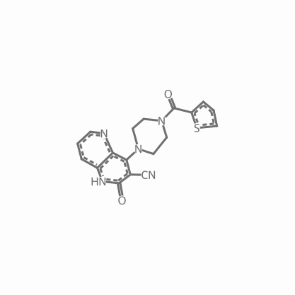 N#Cc1c(N2CCN(C(=O)c3cccs3)CC2)c2ncccc2[nH]c1=O